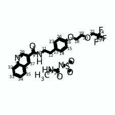 CNC(=O)N=S(=O)=O.O=C(NCCc1ccc(OCCOCC(F)(F)F)cc1)c1cnc2ccccc2c1